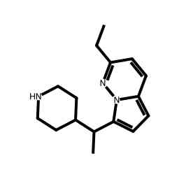 CCc1ccc2ccc(C(C)C3CCNCC3)n2n1